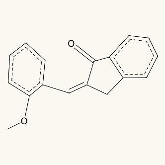 COc1ccccc1/C=C1/Cc2ccccc2C1=O